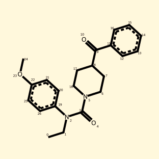 CCN(C(=O)N1CCC(C(=O)c2ccccc2)CC1)c1ccc(OC)cc1